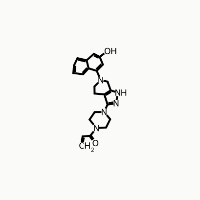 C=CC(=O)N1CCN(c2n[nH]c3c2CCN(c2cc(O)cc4ccccc24)C3)CC1